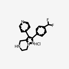 Cl.FC(F)c1ccc(-c2nn3c(c2-c2ccncc2)CNCC3)cc1